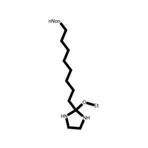 CCCCCCCCCCCCCCCCCC1(OCC)NCCN1